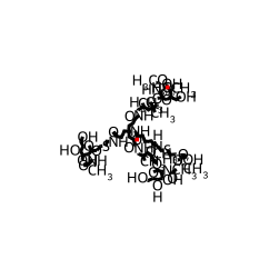 CCP(=O)(O)OCCSCNC(=O)CCCC(=O)NC(CCC(=O)NCSCOC1OC(CO)C(O)C(O)C1NC(C)=O)(CCC(=O)NCC(C)CC(C)COC1OC(CO)C(O)C(O)C1NC(C)=O)CCC(=O)NCC(C)CC(C)(C)COC(OC(CO)[C@@H](C)O)[C@H](CO)NC(C)=O